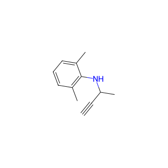 C#CC(C)Nc1c(C)cccc1C